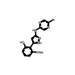 COc1cccc(O)c1-c1cc(Nc2cnc(Br)cn2)n[nH]1